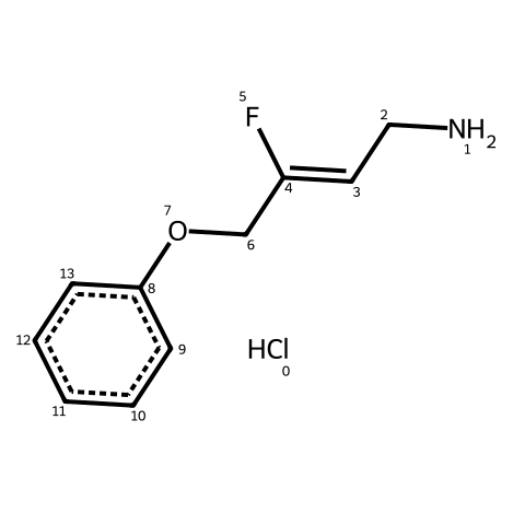 Cl.NCC=C(F)COc1ccccc1